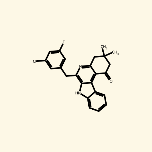 CC1(C)CC(=O)c2c(nc(Cc3cc(F)cc(Cl)c3)c3[nH]c4ccccc4c23)C1